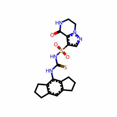 O=C1NCCn2ncc(S(=O)(=O)NC(=S)Nc3c4c(cc5c3CCC5)CCC4)c21